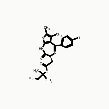 CCC(C)(C)OC(=O)C[C@@H]1N=C(c2ccc(Cl)cc2)c2c(sc(C)c2C)NC1=S